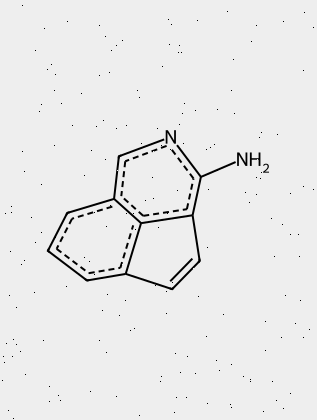 Nc1ncc2cccc3c2c1C=C3